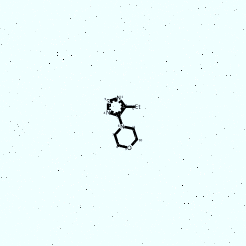 CCc1nsnc1N1CCOCC1